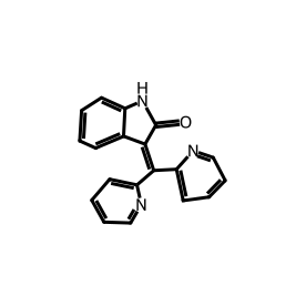 O=C1Nc2ccccc2C1=C(c1ccccn1)c1ccccn1